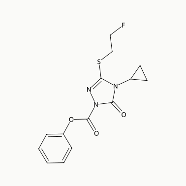 O=C(Oc1ccccc1)n1nc(SCCF)n(C2CC2)c1=O